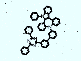 c1ccc(-c2nc(-c3ccccc3)nc(-c3cccc(-c4cccc(N5c6ccccc6-c6c(n(-c7ccccc7)c7ccccc67)-c6ccccc65)c4)c3)n2)cc1